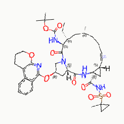 CC[C@@H]1C[C@H](C)CC/C=C\[C@@H]2C[C@@]2(C(=O)NS(=O)(=O)C2(C)CC2)NC(=O)[C@@H]2C[C@@H](Oc3nc4c(c5ccccc35)CCCO4)CN2C(=O)[C@H]1NC(=O)OC(C)(C)C